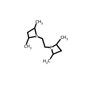 CC1CC(C)P1CCP1C(C)CC1C